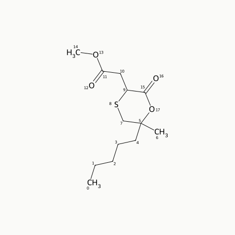 CCCCCC1(C)CSC(CC(=O)OC)C(=O)O1